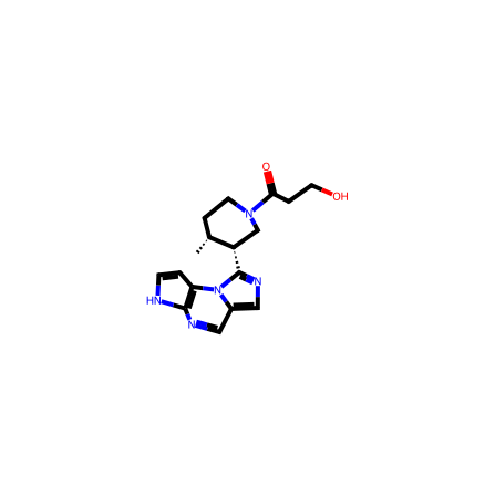 C[C@@H]1CCN(C(=O)CCO)C[C@@H]1c1ncc2cnc3[nH]ccc3n12